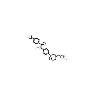 CCN1CCOC(c2ccc(NC(=O)c3ccc(Cl)cc3)cc2)C1